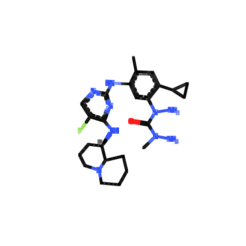 Cc1cc(C2CC2)c(N(N)C(=O)N(C)N)cc1Nc1ncc(F)c(N[C@@H]2CCCN3CCCCC23)n1